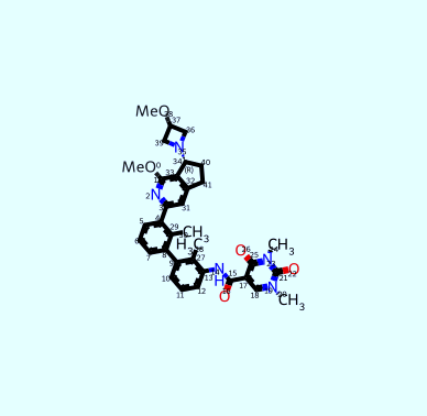 COc1nc(-c2cccc(-c3cccc(NC(=O)c4cn(C)c(=O)n(C)c4=O)c3C)c2C)cc2c1[C@H](N1CC(OC)C1)CC2